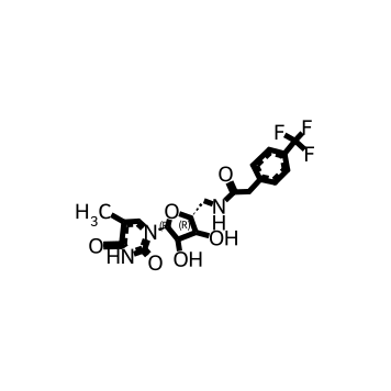 Cc1cn([C@@H]2O[C@H](CNC(=O)Cc3ccc(C(F)(F)F)cc3)C(O)C2O)c(=O)[nH]c1=O